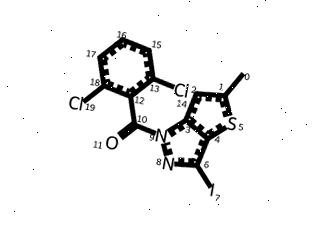 Cc1cc2c(s1)c(I)nn2C(=O)c1c(Cl)cccc1Cl